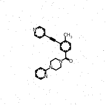 Cc1ccc(C(=O)N2CCN(c3ccccn3)CC2)cc1C#Cc1ccncc1